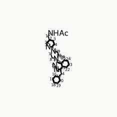 CC(=O)NCc1ccc(N2CCN(c3nnc(Cc4ccccc4)c4ccccc34)[C@@H](C)C2)nc1